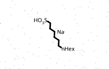 CCCCCCCCCCCCS(=O)(=O)O.[Na]